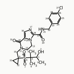 CC(O)C(C)(C)S(=O)(=O)C1(CN2CCn3c(cnc3C(=O)NCc3ccc(Cl)cc3)C2=O)CC1